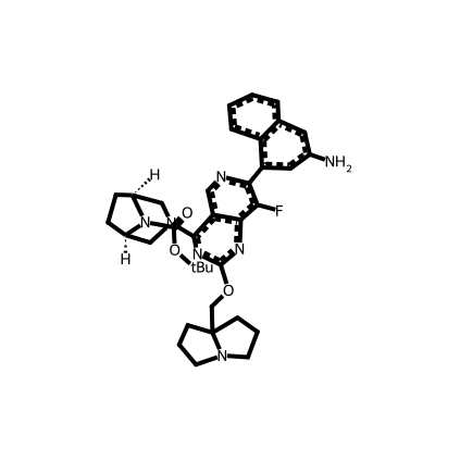 CC(C)(C)OC(=O)N1[C@@H]2CC[C@H]1CN(c1nc(OCC34CCCN3CCC4)nc3c(F)c(-c4cc(N)cc5ccccc45)ncc13)C2